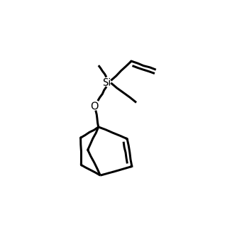 C=C[Si](C)(C)OC12C=CC(CC1)C2